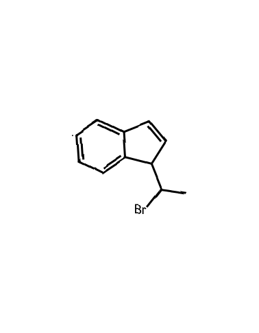 CC(Br)C1C=Cc2c[c]ccc21